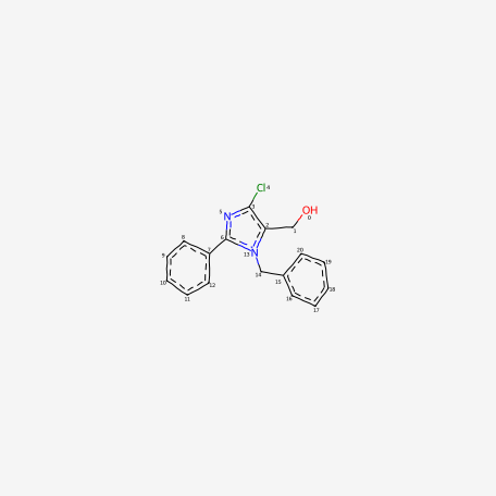 OCc1c(Cl)nc(-c2ccccc2)n1Cc1ccccc1